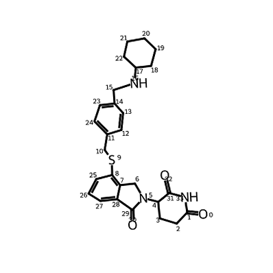 O=C1CCC(N2Cc3c(SCc4ccc(CNC5CCCCC5)cc4)cccc3C2=O)C(=O)N1